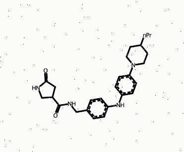 CCCC1CCN(c2ccc(Nc3ccc(CNC(=O)C4CNC(=O)C4)cc3)cc2)CC1